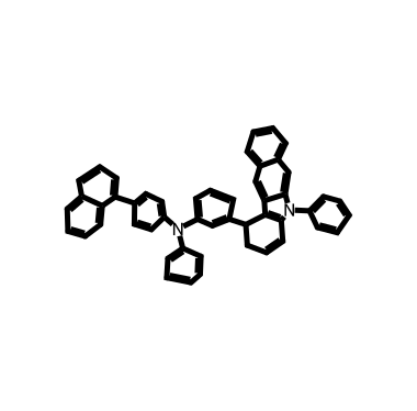 C1=Cc2c(c3cc4ccccc4cc3n2-c2ccccc2)C(c2cccc(N(c3ccccc3)c3ccc(-c4cccc5ccccc45)cc3)c2)C1